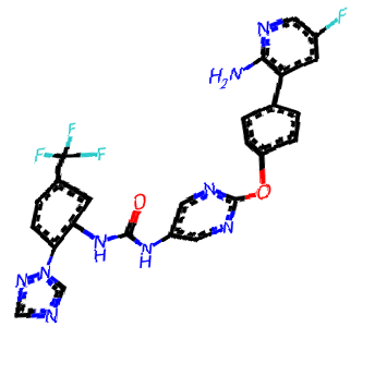 Nc1ncc(F)cc1-c1ccc(Oc2ncc(NC(=O)Nc3cc(C(F)(F)F)ccc3-n3cncn3)cn2)cc1